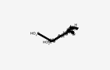 CC(=O)c1nn(CC(=O)N2[C@H](C(=O)Nc3nc(Br)ccc3C)C[C@@]3(CNC(=O)COCCOCCNC(=O)COCCOCCNC(=O)CC[C@H](NC(=O)CCCCCCCCCCCCCCCCC(=O)O)C(=O)O)C[C@@H]23)c2ccc(OC(=O)NC3CC3)cc12